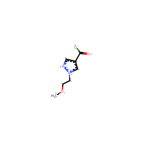 COCCn1cc(C(=O)Cl)cn1